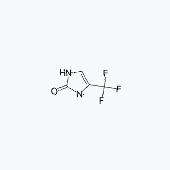 O=C1[N]C(C(F)(F)F)=CN1